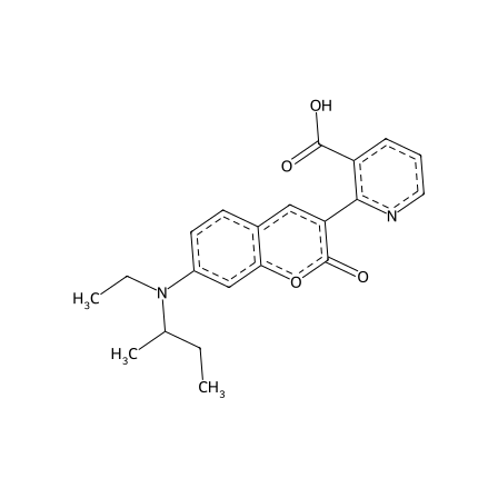 CCC(C)N(CC)c1ccc2cc(-c3ncccc3C(=O)O)c(=O)oc2c1